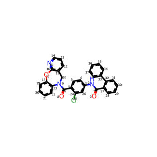 O=C(Nc1ccc(C(=O)N2Cc3cccnc3Oc3ccccc32)c(Cl)c1)c1ccccc1-c1ccccc1